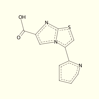 O=C(O)c1cn2c(-c3ccccn3)csc2n1